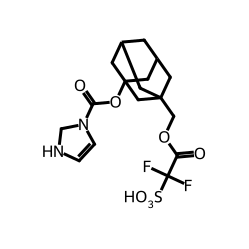 O=C(OC12CC3CC(CC(COC(=O)C(F)(F)S(=O)(=O)O)(C3)C1)C2)N1C=CNC1